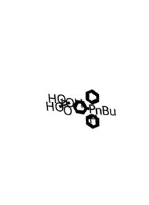 CCCC[PH](c1ccccc1)(c1ccccc1)c1ccccc1.O=P(O)(O)O